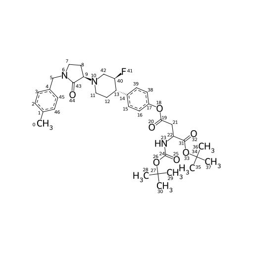 Cc1ccc(CN2CC[C@@H](N3CC[C@@H](c4ccc(OC(=O)CC(NC(=O)OC(C)(C)C)C(=O)OC(C)(C)C)cc4)[C@H](F)C3)C2=O)cc1